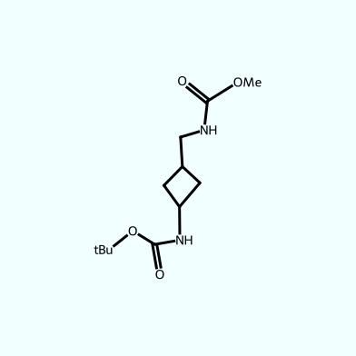 COC(=O)NCC1CC(NC(=O)OC(C)(C)C)C1